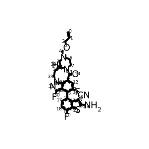 C=CCOCN1CCN2C(=O)c3cc(F)c(-c4ccc(F)c5sc(N)c(C#N)c45)c4c(F)nn(c34)CC[C@@H]2C1